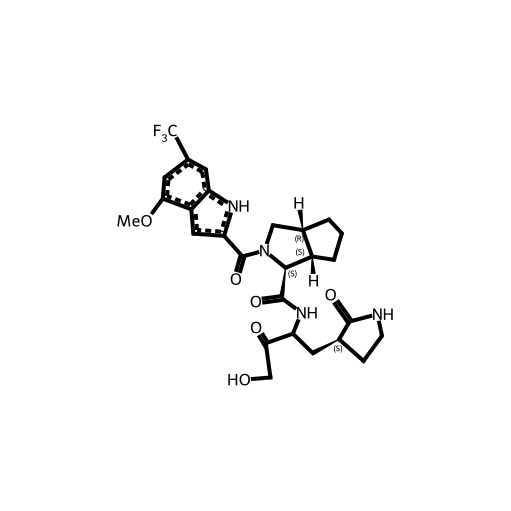 COc1cc(C(F)(F)F)cc2[nH]c(C(=O)N3C[C@@H]4CCC[C@@H]4[C@H]3C(=O)NC(C[C@@H]3CCNC3=O)C(=O)CO)cc12